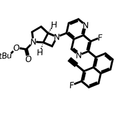 C#Cc1c(F)ccc2cccc(-c3ncc4c(N5C[C@@H]6[C@H]5CCN6C(=O)OC(C)(C)C)ccnc4c3F)c12